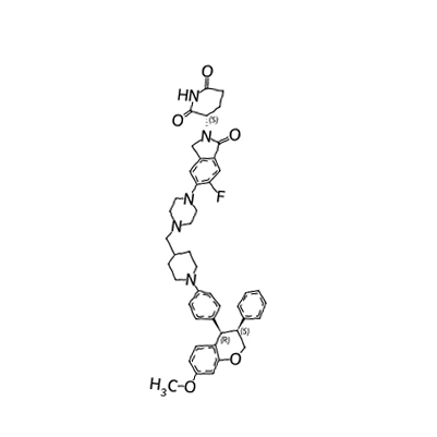 COc1ccc2c(c1)OC[C@H](c1ccccc1)[C@@H]2c1ccc(N2CCC(CN3CCN(c4cc5c(cc4F)C(=O)N([C@H]4CCC(=O)NC4=O)C5)CC3)CC2)cc1